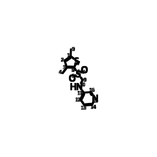 Cc1cc(C)c(S(=O)(=O)CNc2cccnc2)s1